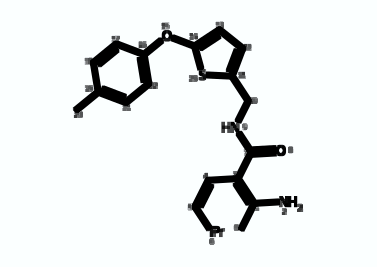 C/C(N)=C(\C=C/C(C)C)C(=O)NCc1ccc(Oc2ccc(C)cc2)s1